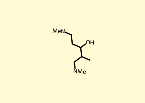 CNCCC(O)C(C)CNC